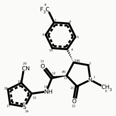 CN1C[C@@H](c2ccc(C(F)(F)F)cc2)[C@H](C(=O)Nc2sccc2C#N)C1=O